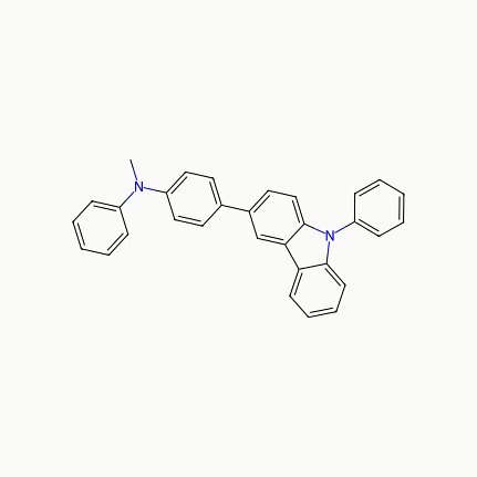 CN(c1ccccc1)c1ccc(-c2ccc3c(c2)c2ccccc2n3-c2ccccc2)cc1